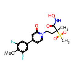 COc1c(F)cc(-c2ccn(CC[C@](C)(C(=O)NO)S(C)(=O)=O)c(=O)c2)cc1F